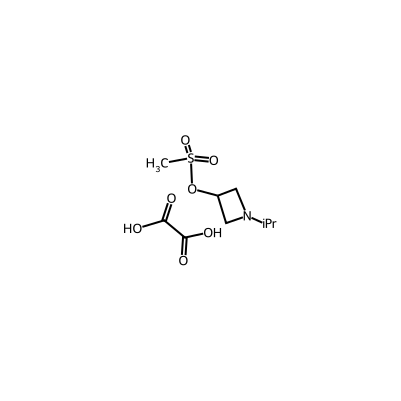 CC(C)N1CC(OS(C)(=O)=O)C1.O=C(O)C(=O)O